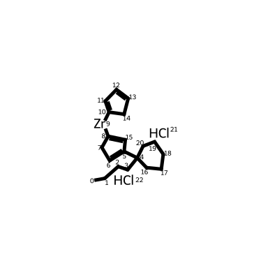 CCCCC1(C2=CC[C]([Zr][C]3=CC=CC3)=C2)CCCCC1.Cl.Cl